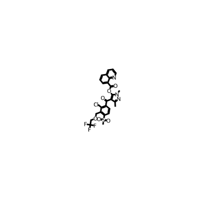 Cc1nn(C)c(OC(=O)c2cccc3cccnc23)c1C(=O)c1ccc(S(C)(=O)=O)c(COCC(F)(F)F)c1Cl